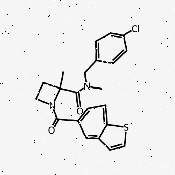 CN(Cc1ccc(Cl)cc1)C(=O)C1(C)CCN1C(=O)c1ccc2sccc2c1